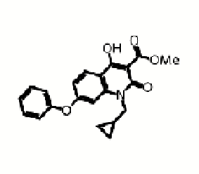 COC(=O)c1c(O)c2ccc(Oc3ccccc3)cc2n(CC2CC2)c1=O